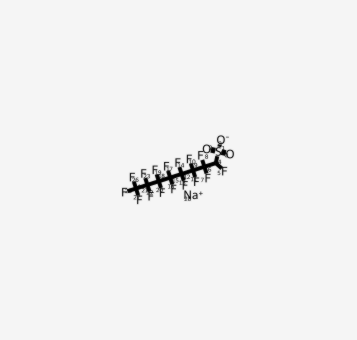 O=S(=O)([O-])C(F)C(F)(F)C(F)(F)C(F)(F)C(F)(F)C(F)(F)C(F)(F)C(F)(F)F.[Na+]